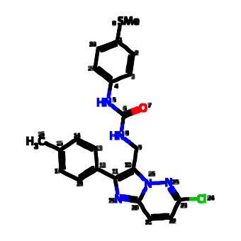 CSc1ccc(NC(=O)NCc2c(-c3ccc(C)cc3)nc3ccc(Cl)nn23)cc1